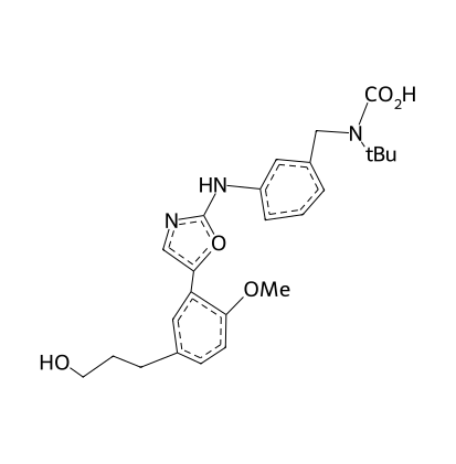 COc1ccc(CCCO)cc1-c1cnc(Nc2cccc(CN(C(=O)O)C(C)(C)C)c2)o1